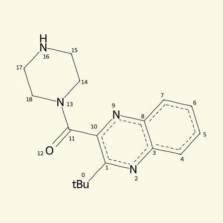 CC(C)(C)c1nc2ccccc2nc1C(=O)N1CCNCC1